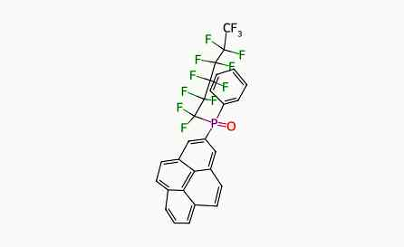 O=P(c1ccccc1)(c1cc2ccc3cccc4ccc(c1)c2c34)C(F)(F)C(F)(F)C(F)(F)C(F)(F)C(F)(F)C(F)(F)F